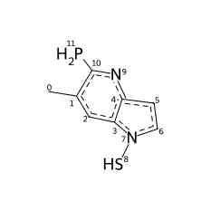 Cc1cc2c(ccn2S)nc1P